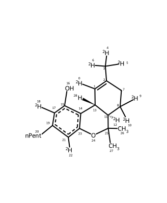 [2H]C1=C(C([2H])([2H])[2H])CC([2H])([2H])[C@]2([2H])[C@@H]1c1c(O)c([2H])c(CCCCC)c([2H])c1OC2(C)C